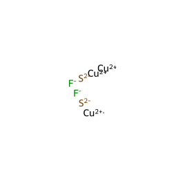 [Cu+2].[Cu+2].[Cu+2].[F-].[F-].[S-2].[S-2]